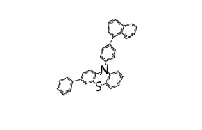 c1ccc(-c2ccc3c(c2)Sc2ccccc2N3c2ccc(-c3cccc4ccccc34)cc2)cc1